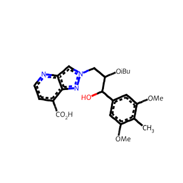 COc1cc(C(O)C(Cn2cc3nccc(C(=O)O)c3n2)OCC(C)C)cc(OC)c1C